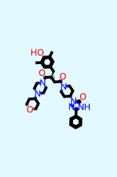 Cc1cc(C[C@@H](CC(=O)N2CCC(n3nc(-c4ccccc4)[nH]c3=O)CC2)C(=O)N2CCN(C3CCOCC3)CC2)cc(C)c1O